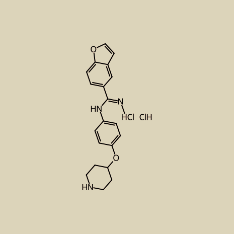 CN=C(Nc1ccc(OC2CCNCC2)cc1)c1ccc2occc2c1.Cl.Cl